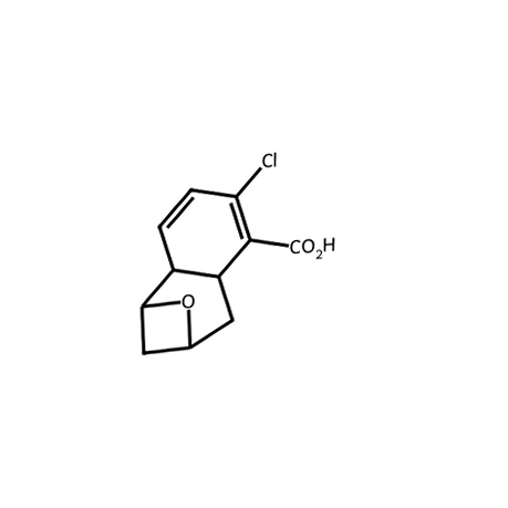 O=C(O)C1=C(Cl)C=CC2C3CC(CC12)O3